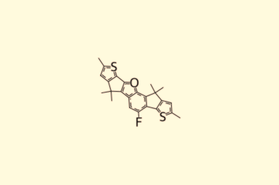 Cc1cc2c(s1)-c1oc3c4c(c(F)cc3c1C2(C)C)-c1sc(C)cc1C4(C)C